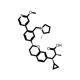 COc1cc(-c2ccc([C@@H]3CCc4ccc([C@H](C5CC5)[C@H](C)C(=O)O)cc4O3)cc2CN2CCC[C@@H]2C)ccn1